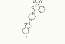 CCS(=O)(=O)c1ccccc1C(=O)N1CCN(c2nc3ccc(C)cc3o2)CC1C